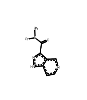 CC(C)N(C(=O)c1n[nH]c2ccncc12)C(C)C